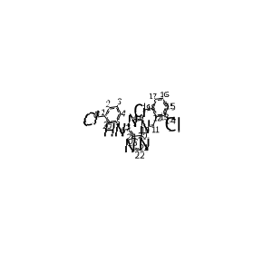 Clc1cccc(Nc2ncn(Cc3c(Cl)cccc3Cl)c3ncnc2-3)c1